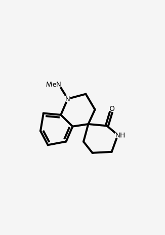 CNN1CCC2(CCCNC2=O)c2ccccc21